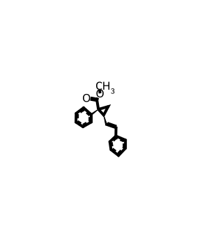 COC(=O)[C@]1(c2ccccc2)C[C@H]1C=Cc1ccccc1